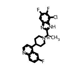 C[C@H](c1nc2cc(F)c(F)c(Cl)c2[nH]1)N1CCC(c2ccnc3ccc(F)cc23)CC1